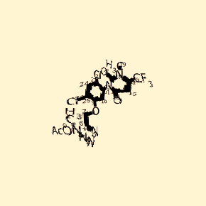 CC(=O)O[N+]1(C)N=NN=C1COc1cc(-n2c(=O)cc(C(F)(F)F)n(C)c2=O)c(Cl)cc1Cl